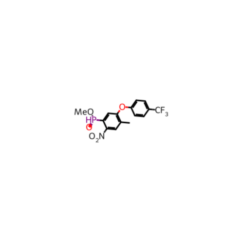 CO[PH](=O)c1cc(Oc2ccc(C(F)(F)F)cc2)c(C)cc1[N+](=O)[O-]